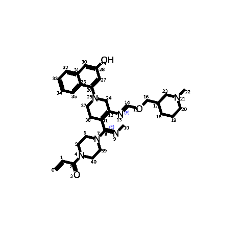 C=CC(=O)N1CCN(/C(=N/C)C2=C(/N=C/OCC3CCCN(C)C3)CN(c3cc(O)cc4ccccc34)CC2)CC1